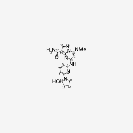 CNc1cc(Nc2cccc(N3CCCC3O)n2)nc2c(C(N)=O)cnn12